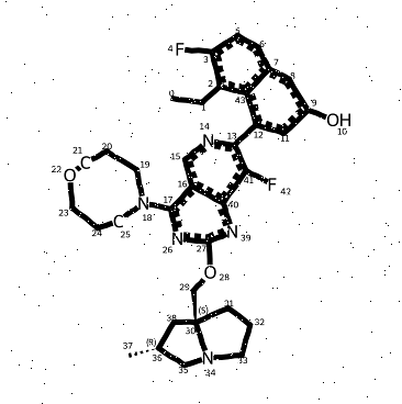 CCc1c(F)ccc2cc(O)cc(-c3ncc4c(N5CCCOCCC5)nc(OC[C@@]56CCCN5C[C@H](C)C6)nc4c3F)c12